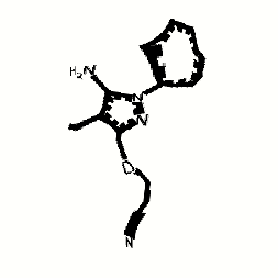 Cc1c(OCC#N)nn(-c2ccccc2)c1N